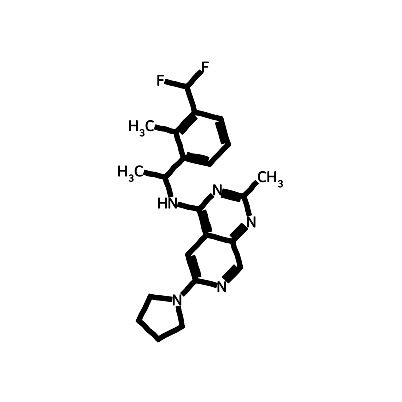 Cc1nc(NC(C)c2cccc(C(F)F)c2C)c2cc(N3CCCC3)ncc2n1